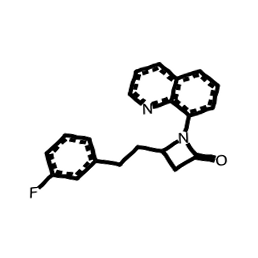 O=C1CC(CCc2cccc(F)c2)N1c1cccc2cccnc12